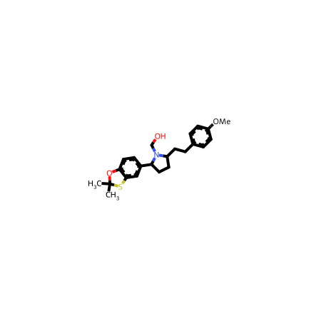 COc1ccc(CCC2CCC(c3ccc4c(c3)SC(C)(C)O4)N2CO)cc1